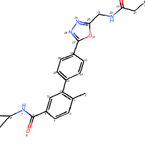 Cc1ccc(C(=O)NC2CC2)cc1-c1ccc(-c2nnc(CNC(=O)CC(C)(C)C)o2)cc1